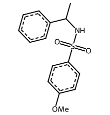 COc1ccc(S(=O)(=O)NC(C)c2ccccc2)cc1